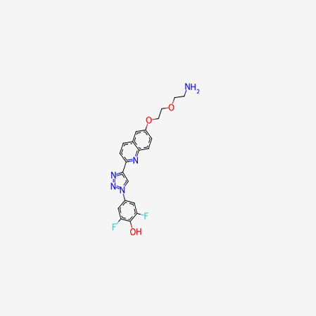 NCCOCCOc1ccc2nc(-c3cn(-c4cc(F)c(O)c(F)c4)nn3)ccc2c1